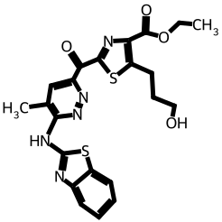 CCOC(=O)c1nc(C(=O)c2cc(C)c(Nc3nc4ccccc4s3)nn2)sc1CCCO